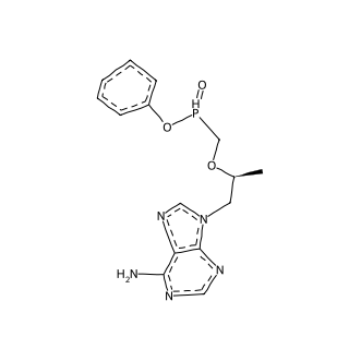 C[C@@H](Cn1cnc2c(N)ncnc21)OC[PH](=O)Oc1ccccc1